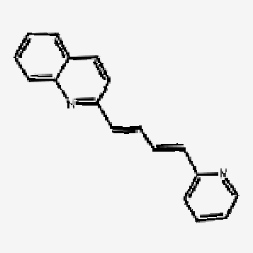 C(/C=C/c1ccc2ccccc2n1)=C\c1ccccn1